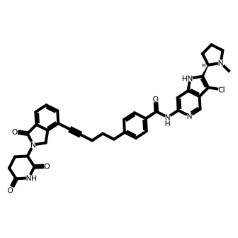 CN1CCC[C@@H]1c1[nH]c2cc(NC(=O)c3ccc(CCCC#Cc4cccc5c4CN(C4CCC(=O)NC4=O)C5=O)cc3)ncc2c1Cl